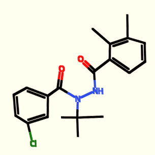 Cc1cccc(C(=O)NN(C(=O)c2cccc(Cl)c2)C(C)(C)C)c1C